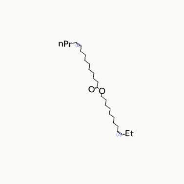 CC/C=C\CCCCCCCCOC(=O)CCCCCCCC/C=C\CCC